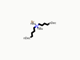 CCCCCCCCCCCCCC[N+](CCCC)(CCCC)CCCCCCCCCCCCCC.[Br-]